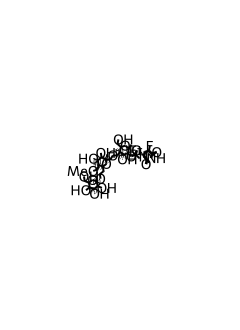 CC[C@]1(C)OC(CO)[C@@](C)(COC[C@]2(C)OC(CCO[C@H]3OC(CO)C(O)[C@@H](O)C3O)[C@@](C)(COC)[C@@H](O)C2O)[C@@H](O)C1OC(=O)Cn1cc(F)c(=O)[nH]c1=O